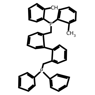 Cc1ccccc1P(Cc1ccccc1-c1ccccc1CP(c1ccccc1)c1ccccc1)c1ccccc1C